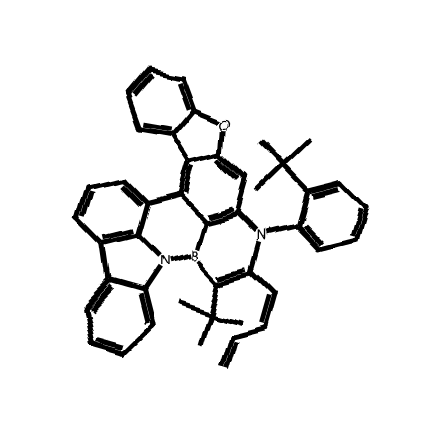 C=C/C=C\C1=C(C(C)(C)C)B2c3c(cc4oc5ccccc5c4c3-c3cccc4c5ccccc5n2c34)N1c1ccccc1C(C)(C)C